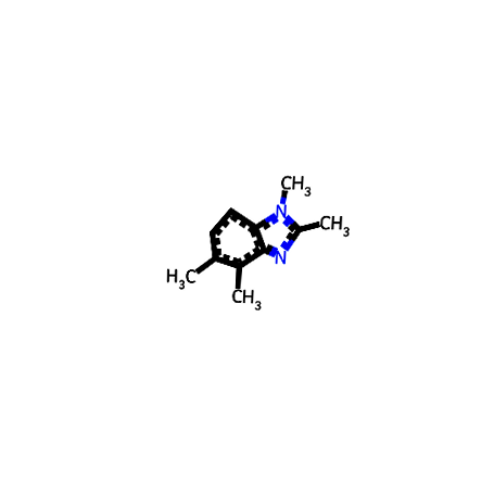 Cc1ccc2c(nc(C)n2C)c1C